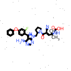 CC(C)(C=C(C#N)C(=O)N1CCCC1Cn1nc(-c2ccc(Oc3ccccc3)cc2F)c2c(N)ncnc21)NC(=O)O